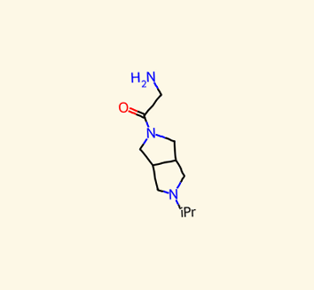 CC(C)N1CC2CN(C(=O)CN)CC2C1